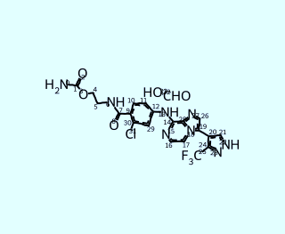 NC(=O)OCCNC(=O)c1ccc(Nc2nccn3c(-c4c[nH]nc4C(F)(F)F)cnc23)cc1Cl.O=CO